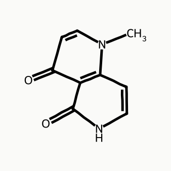 Cn1ccc(=O)c2c(=O)[nH]ccc21